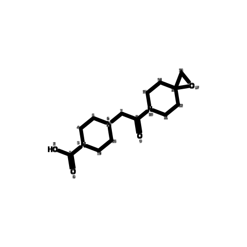 O=C(O)N1CCN(CC(=O)N2CCC3(CC2)CO3)CC1